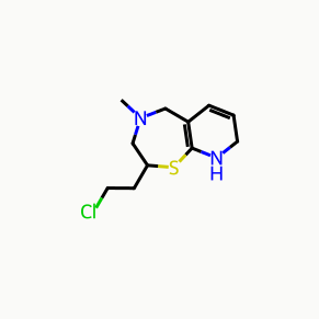 CN1CC2=C(NCC=C2)SC(CCCl)C1